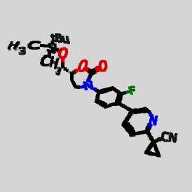 CC(C)(C)[Si](C)(C)OC[C@H]1CN(c2ccc(-c3ccc(C4(C#N)CC4)nc3)c(F)c2)C(=O)O1